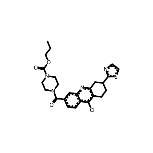 CCCOC(=O)N1CCN(C(=O)c2ccc3c(Cl)c4c(nc3c2)CC(c2nccs2)CC4)CC1